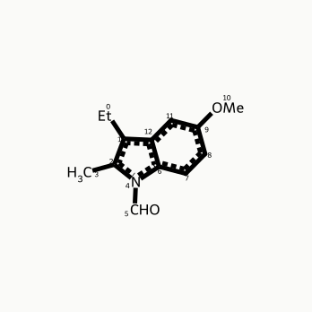 CCc1c(C)n(C=O)c2ccc(OC)cc12